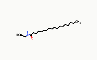 C#CCNC(=O)CCCCCCCCCCCCCCCCC